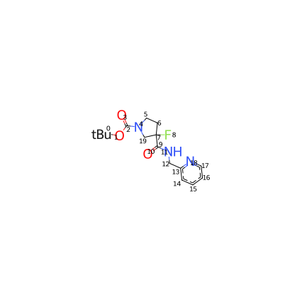 CC(C)(C)OC(=O)N1CCC(F)(C(=O)NCc2ccccn2)C1